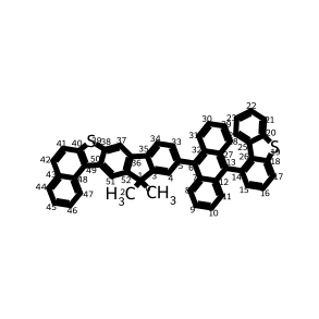 CC1(C)c2cc(-c3c4ccccc4c(-c4cccc5sc6ccccc6c45)c4ccccc34)ccc2-c2cc3sc4ccc5ccccc5c4c3cc21